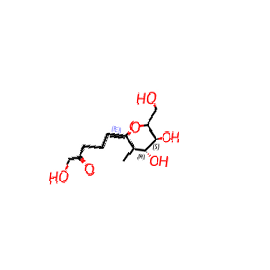 CC1/C(=C\CCC(=O)CO)OC(CO)[C@@H](O)[C@@H]1O